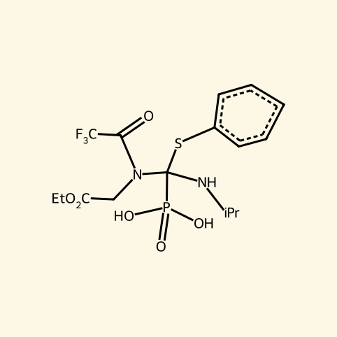 CCOC(=O)CN(C(=O)C(F)(F)F)C(NC(C)C)(Sc1ccccc1)P(=O)(O)O